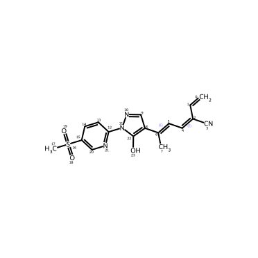 C=C/C(C#N)=C\C=C(/C)c1cnn(-c2ccc(S(C)(=O)=O)cn2)c1O